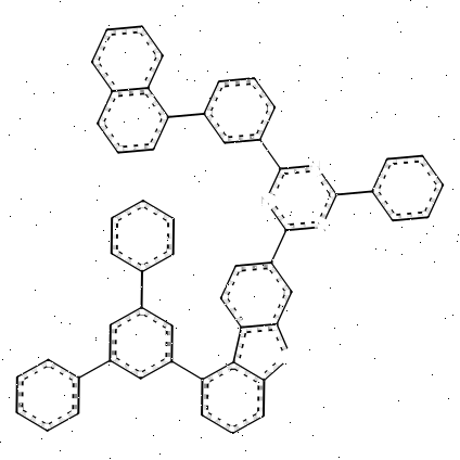 c1ccc(-c2cc(-c3ccccc3)cc(-c3cccc4oc5cc(-c6nc(-c7ccccc7)nc(-c7cccc(-c8cccc9ccccc89)c7)n6)ccc5c34)c2)cc1